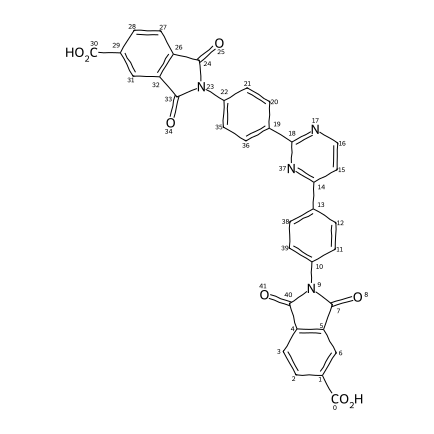 O=C(O)c1ccc2c(c1)C(=O)N(c1ccc(-c3ccnc(-c4ccc(N5C(=O)c6ccc(C(=O)O)cc6C5=O)cc4)n3)cc1)C2=O